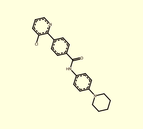 O=C(Nc1ccc(N2CCCCC2)cc1)c1ccc(-c2ncccc2Cl)cc1